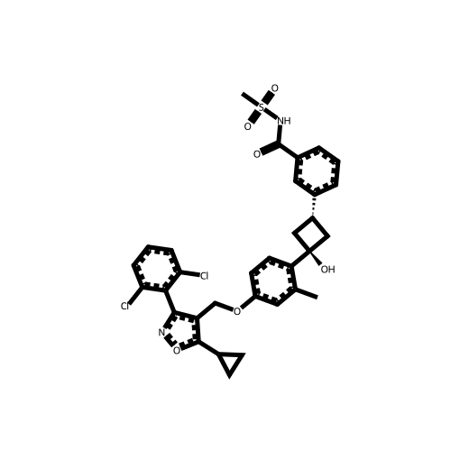 Cc1cc(OCc2c(-c3c(Cl)cccc3Cl)noc2C2CC2)ccc1[C@]1(O)C[C@H](c2cccc(C(=O)NS(C)(=O)=O)c2)C1